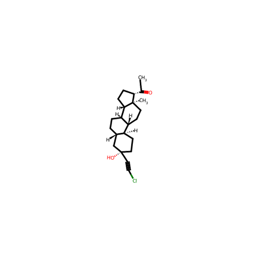 CC(=O)[C@H]1CC[C@H]2[C@@H]3CC[C@H]4C[C@](O)(C#CCl)CC[C@@H]4[C@H]3CC[C@]12C